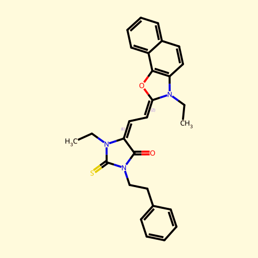 CCN1C(=S)N(CCc2ccccc2)C(=O)/C1=C\C=C1/Oc2c(ccc3ccccc23)N1CC